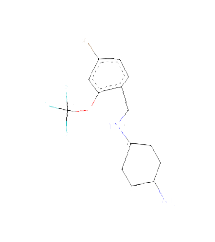 NC1CCC(NCc2ccc(Br)cc2OC(F)(F)F)CC1